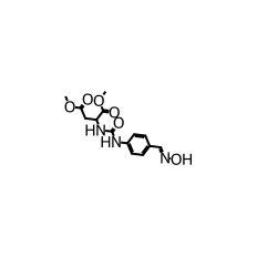 COC(=O)CC(NC(=O)Nc1ccc(C=NO)cc1)C(=O)OC